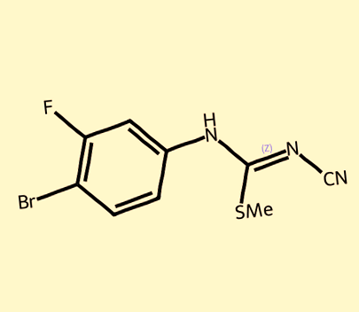 CS/C(=N\C#N)Nc1ccc(Br)c(F)c1